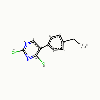 O=C(O)Cc1ccc(-c2cnc(Cl)nc2Cl)cc1